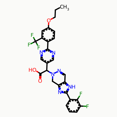 CCCOc1ccc(-c2ncc(C(C(=O)O)N3Cc4nc(-c5cccc(F)c5F)[nH]c4C=N3)cn2)c(C(F)(F)F)c1